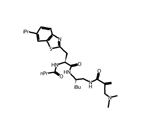 C=C(CN(C)C)C(=O)NCC(NC(=O)[C@H](Cc1nc2ccc(C(C)C)cc2s1)NC(=O)CCC)[C@@H](C)CC